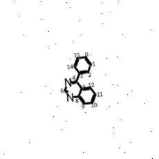 c1ccc(-c2ncnc3ccccc23)cc1